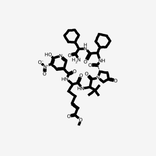 COC(=O)/C=C/CCC(NC(=O)c1cnc(O)c([N+](=O)[O-])c1)C(=O)NC(C(=O)N1CC(=O)C[C@H]1C(=O)NC(C(=O)NC(C(N)=O)C1CCCCC1)C1CCCCC1)C(C)(C)C